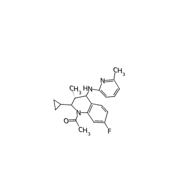 CC(=O)N1c2cc(F)ccc2C(Nc2cccc(C)n2)[C@@H](C)C1C1CC1